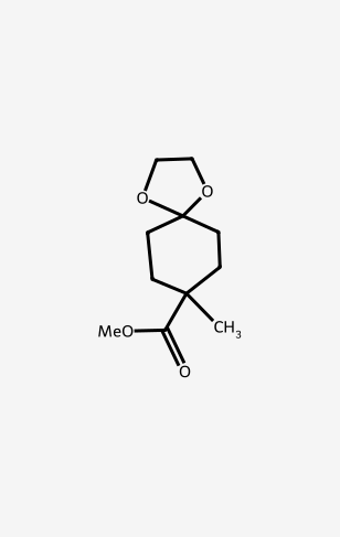 COC(=O)C1(C)CCC2(CC1)OCCO2